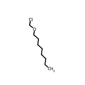 CCCCCCCCOCCl